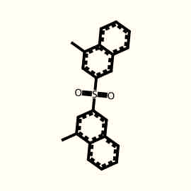 Cc1cc(S(=O)(=O)c2cc(C)c3ccccc3c2)cc2ccccc12